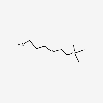 C[Si](C)(C)CCSCCCN